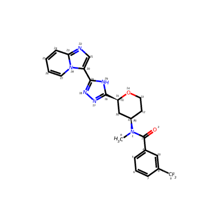 CN(C(=O)c1cccc(C(F)(F)F)c1)[C@@H]1CCO[C@H](c2nnc(-c3cnc4ccccn34)[nH]2)C1